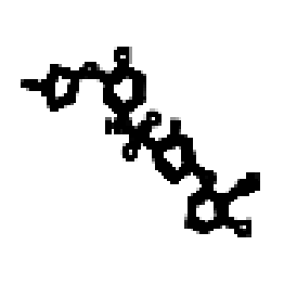 Cc1cc(Oc2cccc(Cl)c2C#N)ccc1S(=O)(=O)Nc1ccc(Cl)c(OC2CCN(C)C2)c1